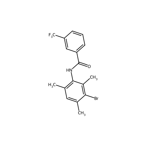 Cc1cc(C)c(NC(=O)c2cccc(C(F)(F)F)c2)c(C)c1Br